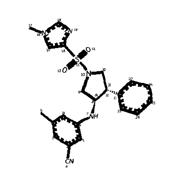 Cc1cc(C#N)cc(N[C@H]2CN(S(=O)(=O)c3cn(C)cn3)C[C@@H]2c2ccccc2)c1